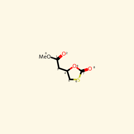 COC(=O)CC1CSC(=O)O1